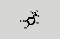 Nc1cc(S(=O)(=O)Cl)ccc1S.[Na]